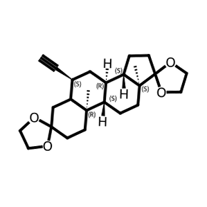 C#C[C@H]1C[C@@H]2[C@H](CC[C@@]3(C)[C@H]2CCC32OCCO2)[C@@]2(C)CCC3(CC12)OCCO3